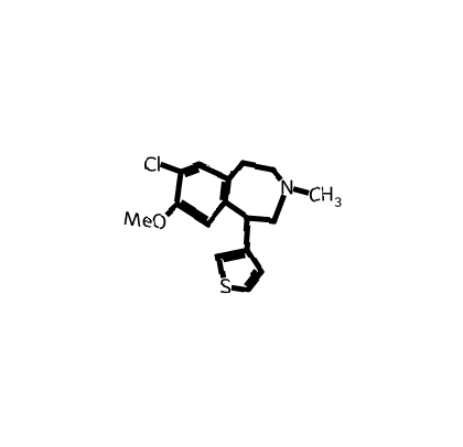 COc1cc2c(cc1Cl)CCN(C)CC2c1ccsc1